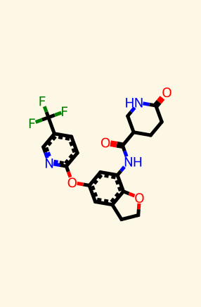 O=C1CCC(C(=O)Nc2cc(Oc3ccc(C(F)(F)F)cn3)cc3c2OCC3)CN1